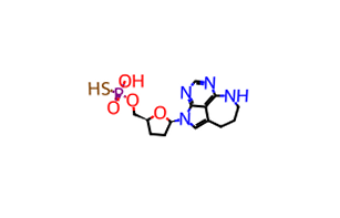 O=P(O)(S)OC[C@@H]1CC[C@H](n2cc3c4c(ncnc42)NCCC3)O1